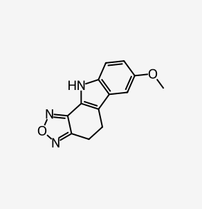 COc1ccc2[nH]c3c(c2c1)CCc1nonc1-3